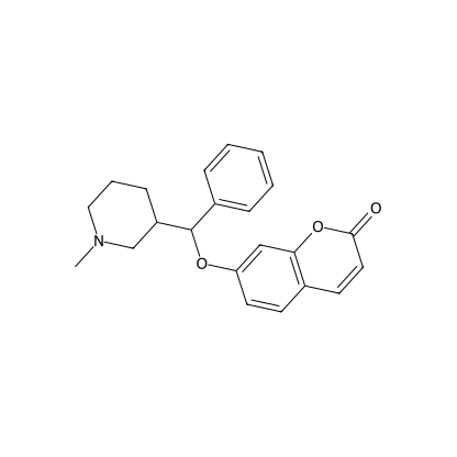 CN1CCCC(C(Oc2ccc3ccc(=O)oc3c2)c2ccccc2)C1